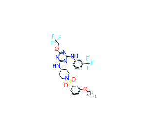 COc1cccc(S(=O)(=O)N2CCC(Nc3nc(Nc4cccc(C(F)(F)F)c4)nc(OCC(F)(F)F)n3)CC2)c1